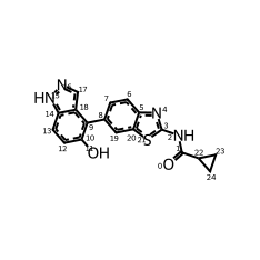 O=C(Nc1nc2ccc(-c3c(O)ccc4[nH]ncc34)cc2s1)C1CC1